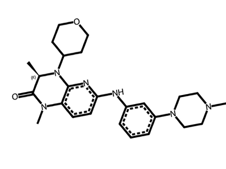 C[C@@H]1C(=O)N(C)c2ccc(Nc3cccc(N4CCN(C)CC4)c3)nc2N1C1CCOCC1